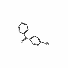 CC(C)c1ccc([P](=O)c2ccccc2)cc1